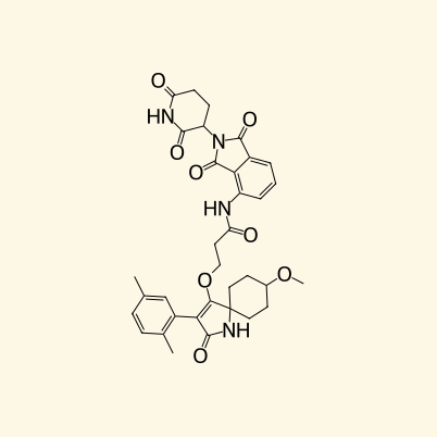 COC1CCC2(CC1)NC(=O)C(c1cc(C)ccc1C)=C2OCCC(=O)Nc1cccc2c1C(=O)N(C1CCC(=O)NC1=O)C2=O